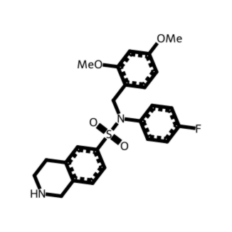 COc1ccc(CN(c2ccc(F)cc2)S(=O)(=O)c2ccc3c(c2)CCNC3)c(OC)c1